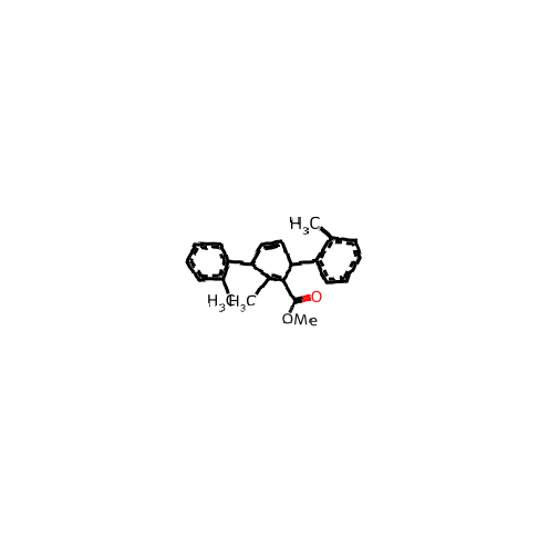 COC(=O)C1=C(C)C(c2ccccc2C)C=CC1c1ccccc1C